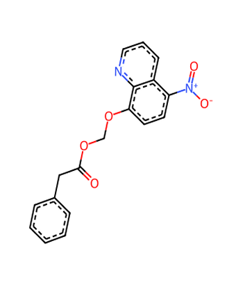 O=C(Cc1ccccc1)OCOc1ccc([N+](=O)[O-])c2cccnc12